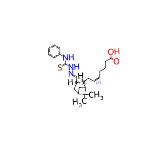 CC1(C)C2CC1[C@@H](C/C=C\CCCC(=O)O)[C@H](C=NNC(=S)Nc1ccccc1)C2